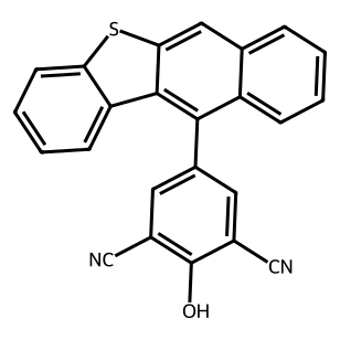 N#Cc1cc(-c2c3ccccc3cc3sc4ccccc4c23)cc(C#N)c1O